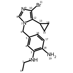 CCNc1cc(Cn2cnc(Br)c2C2CC2)ccc1N